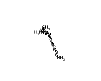 CCCCc1nc2c(N)nc3cc(C)sc3c2n1CC1CCN(CCOCCOCCOCCOCCOCCOCCOCCOCCN)CC1